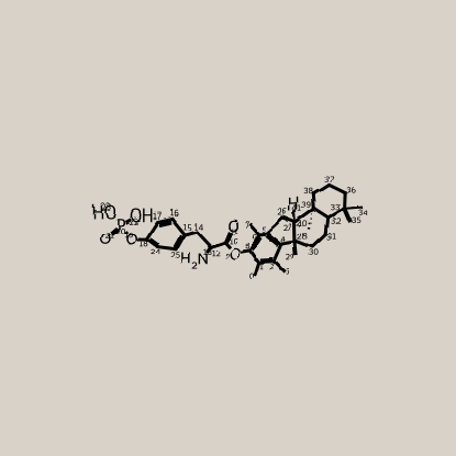 Cc1c(C)c2c(c(C)c1OC(=O)C(N)Cc1ccc(OP(=O)(O)O)cc1)C[C@H]1C2(C)CCC2C(C)(C)CCC[C@@]21C